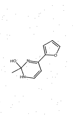 CC1(O)N=C(c2ccco2)C=CN1